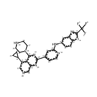 FC(F)(F)c1nc2cc(Nc3cc(-c4nc(N5CCNCC5)c5c(C6CC6)cncc5n4)ccn3)ccc2o1